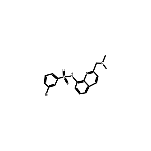 CN(C)Cc1ccc2cccc(NS(=O)(=O)c3cccc(Br)c3)c2n1